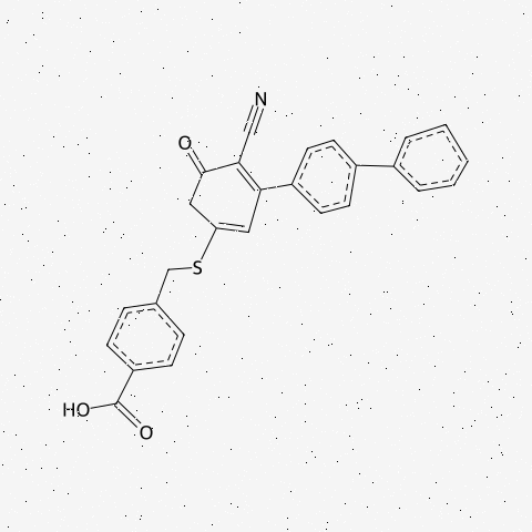 N#CC1=C(c2ccc(-c3ccccc3)cc2)C=C(SCc2ccc(C(=O)O)cc2)CC1=O